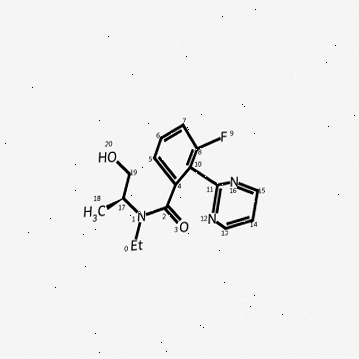 CCN(C(=O)c1cccc(F)c1-c1ncccn1)[C@@H](C)CO